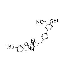 CCSc1ccc(-c2ccc(CCCc3nn(Cc4ccc(C(C)(C)C)cc4)c(=O)n3CC)cc2)cc1CC#N